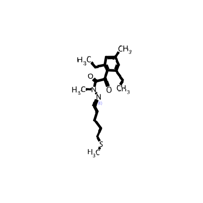 CCc1cc(C)cc(CC)c1C(=O)C(=O)N(C)/N=C/CCCCSC